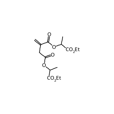 C=C(CC(=O)OC(C)C(=O)OCC)C(=O)OC(C)C(=O)OCC